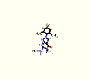 CNc1nc2nn(-c3c(C)cc(Br)cc3C)cc2c(=O)n1C